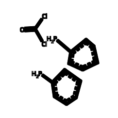 O=C(Cl)Cl.Pc1ccccc1.Pc1ccccc1